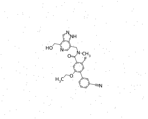 CCOc1cc(C(=O)N(C)Cc2cnc(CO)c3cn[nH]c23)c(F)cc1-c1cccc(C#N)c1